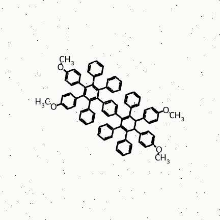 COc1ccc(-c2c(-c3ccccc3)c(-c3ccccc3)c(-c3ccc(C4=C(c5ccccc5)C(c5ccc(OC)cc5)C(c5ccc(OC)cc5)C(c5ccccc5)=C4c4ccccc4)cc3)c(-c3ccccc3)c2-c2ccc(OC)cc2)cc1